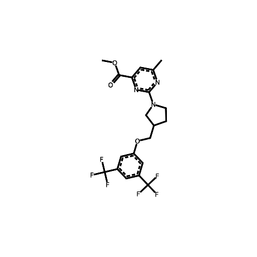 COC(=O)c1cc(C)nc(N2CCC(COc3cc(C(F)(F)F)cc(C(F)(F)F)c3)C2)n1